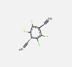 C#Cc1c(F)c(F)c(C#C)c(F)c1F